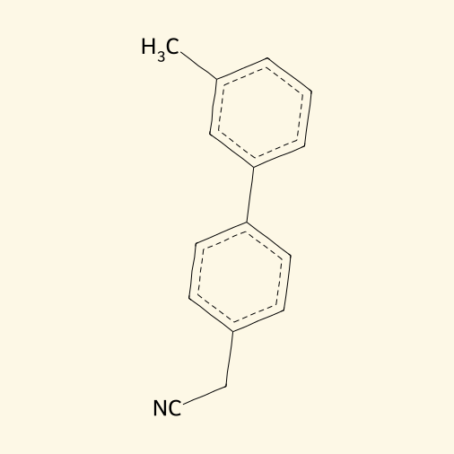 Cc1cccc(-c2ccc(CC#N)cc2)c1